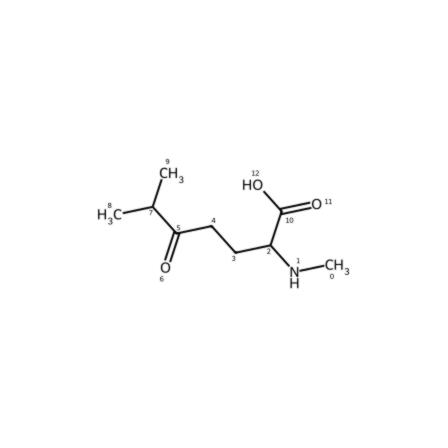 CNC(CCC(=O)C(C)C)C(=O)O